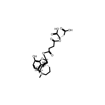 CN1CCC[C@]23c4c5ccc(O)c4O[C@H]2C(OC(=O)CCC(=O)O[C@@H](CC(=O)O)C(=O)O)=CC[C@@]3(O)[C@H]1C5